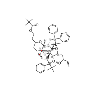 C=CC(O)C[C@H]1O[C@H]2[C@@H](O[Si](c3ccccc3)(c3ccccc3)C(C)(C)C)[C@H]3OC(CCOC(=O)C(C)(C)C)CC[C@@H]3O[C@H]2[C@H]1O[Si](c1ccccc1)(c1ccccc1)C(C)(C)C